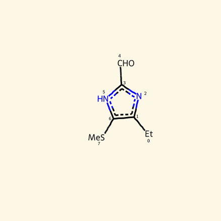 CCc1nc(C=O)[nH]c1SC